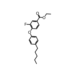 CCCCCc1ccc(Oc2ccc(C(=O)OCC)cc2F)cc1